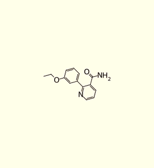 CCOc1cccc(-c2ncccc2C(N)=O)c1